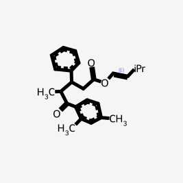 Cc1ccc(C(=O)C(C)C(CC(=O)O/C=C/C(C)C)c2ccccc2)c(C)c1